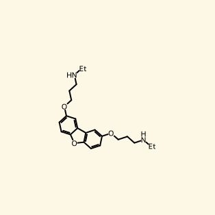 CCNCCCOc1ccc2oc3ccc(OCCCNCC)cc3c2c1